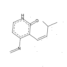 C=Nc1cc[nH]c(=O)c1/C=C\C(C)C